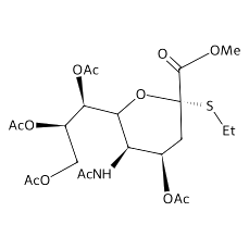 CCS[C@]1(C(=O)OC)C[C@@H](OC(C)=O)[C@@H](NC(C)=O)C([C@H](OC(C)=O)[C@@H](COC(C)=O)OC(C)=O)O1